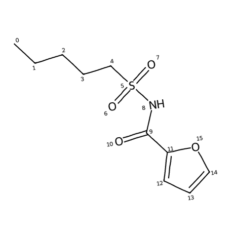 CCCCCS(=O)(=O)NC(=O)c1ccco1